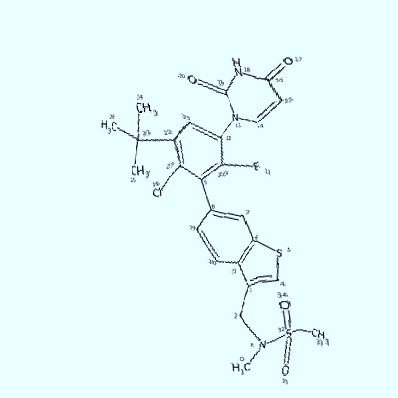 CN(Cc1csc2cc(-c3c(F)c(-n4ccc(=O)[nH]c4=O)cc(C(C)(C)C)c3Cl)ccc12)S(C)(=O)=O